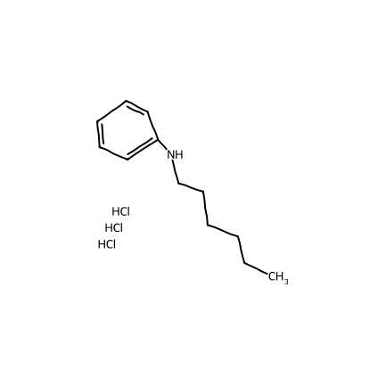 CCCCCCNc1ccccc1.Cl.Cl.Cl